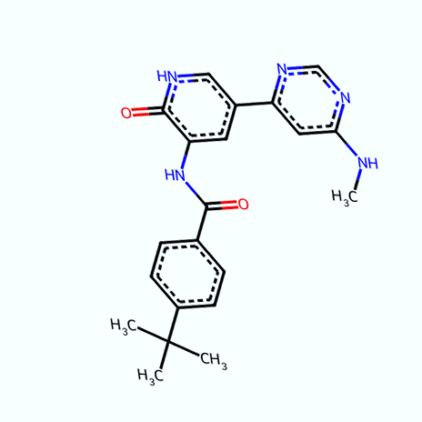 CNc1cc(-c2c[nH]c(=O)c(NC(=O)c3ccc(C(C)(C)C)cc3)c2)ncn1